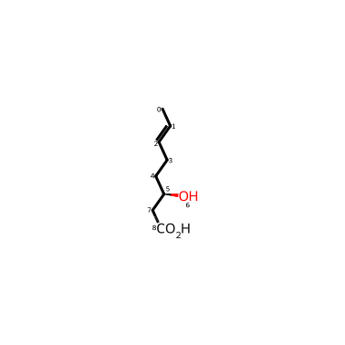 C/C=C/CC[C@@H](O)CC(=O)O